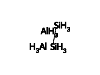 [AlH3].[AlH3].[SiH3][SiH3]